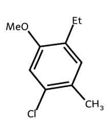 CCc1cc(C)c(Cl)cc1OC